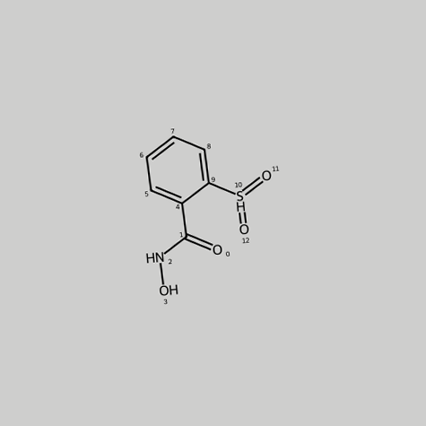 O=C(NO)c1ccccc1[SH](=O)=O